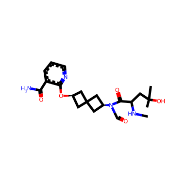 CNC(CC(C)(C)O)C(=O)N(C=O)[C@H]1CC2(C[C@H](Oc3ncccc3C(N)=O)C2)C1